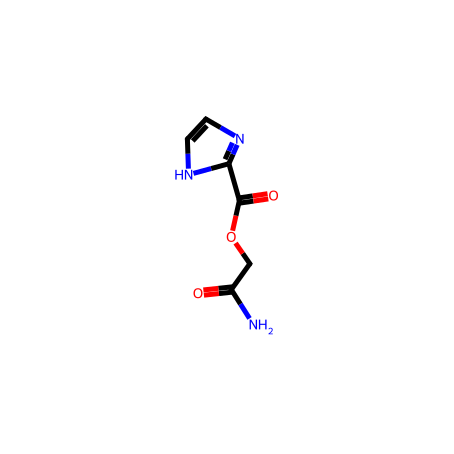 NC(=O)COC(=O)c1ncc[nH]1